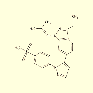 CCc1nn(C=C(C)C)c2cc(-c3ccnn3-c3ccc(S(C)(=O)=O)cc3)ccc12